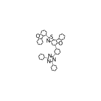 c1ccc(-c2nc(-c3ccccc3)nc(-c3cccc(-c4cc5nc(-c6cccc7oc8ccccc8c67)sc5c5c4oc4ccccc45)c3)n2)cc1